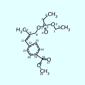 CCOP(=O)(CC)OCC(C)=Cc1ccc(C(=O)OC)cc1